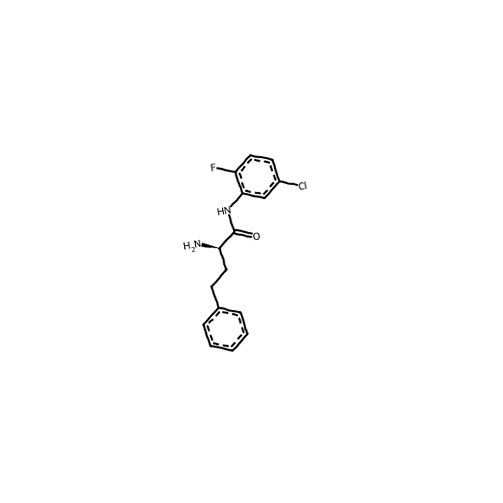 N[C@H](CCc1ccccc1)C(=O)Nc1cc(Cl)ccc1F